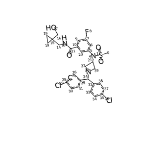 CS(=O)(=O)N(c1cc(F)cc(C(=O)NCC2(CO)CC2)c1)C1CN(C(c2ccc(Cl)cc2)c2ccc(Cl)cc2)C1